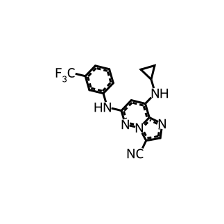 N#Cc1cnc2c(NC3CC3)cc(Nc3cccc(C(F)(F)F)c3)nn12